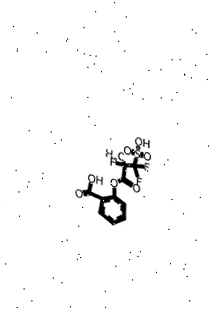 CC(F)(C(=O)Oc1ccccc1C(=O)O)C(F)(F)S(=O)(=O)O